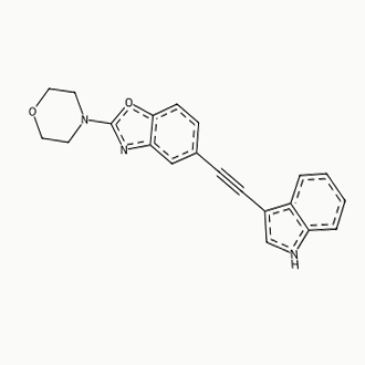 C(#Cc1c[nH]c2ccccc12)c1ccc2oc(N3CCOCC3)nc2c1